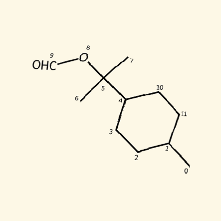 CC1CCC(C(C)(C)OC=O)CC1